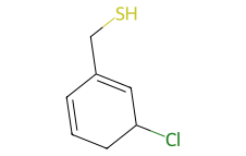 SCC1=CC(Cl)CC=C1